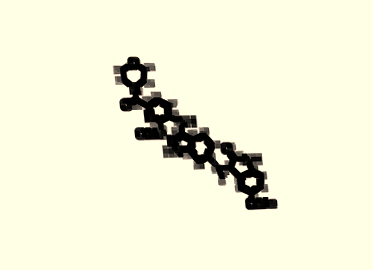 COc1ccc2c(c1)[C@]1(C[C@H]1c1ccc3c(Nc4ccc(C(=O)N5CCOCC5)nc4OC)n[nH]c3c1)C(=O)N2